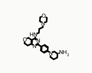 N[C@H]1CCCN(c2ccc(-c3nc4c(c(NCCCN5CCOCC5)n3)COCC4)cc2)C1